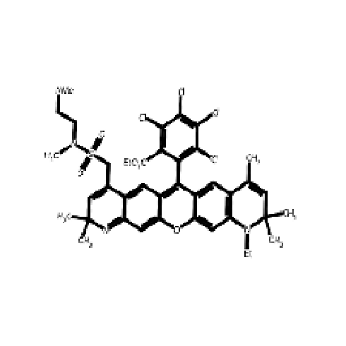 CCOC(=O)c1c(Cl)c(Cl)c(Cl)c(Cl)c1C1=c2cc3c(cc2Oc2cc4c(cc21)C(C)=CC(C)(C)N4CC)=NC(C)(C)C=C3CS(=O)(=O)N(C)CCNC